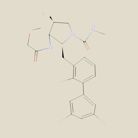 CCNC(=O)N1C[C@H](C)[C@@]2(COCC(=O)N2)[C@@H]1Cc1cccc(-c2cc(F)cc(F)c2)c1F